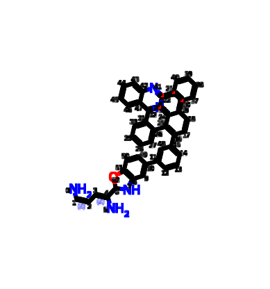 N/C=C\C=C(/N)C1Nc2cc(-c3cccc(-c4ccc5ccccc5c4-c4ccccc4-c4nc(-c5ccccc5)nc5ccccc45)c3)ccc2O1